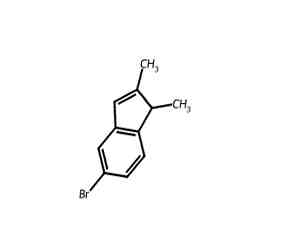 CC1=Cc2cc(Br)ccc2C1C